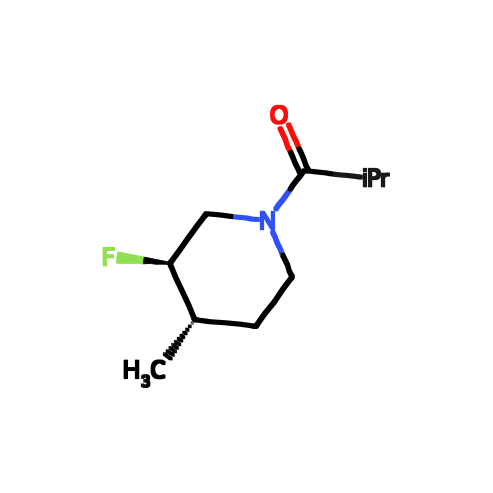 CC(C)C(=O)N1CC[C@H](C)[C@@H](F)C1